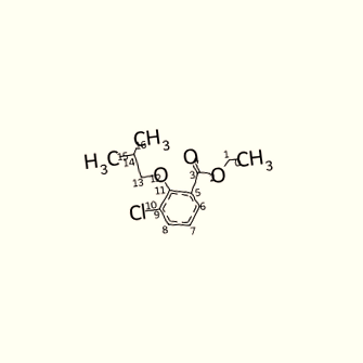 CCOC(=O)c1cccc(Cl)c1OCC(C)C